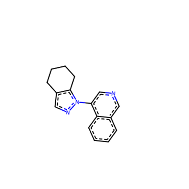 c1ccc2c(-n3ncc4c3CCCC4)cncc2c1